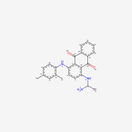 CCC(N)Nc1ccc(Nc2ccc(C)cc2C)c2c1C(=O)c1ccccc1C2=O